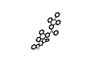 c1ccc(N(c2ccc3c(c2)-c2ccccc2N(c2ccccc2)c2ccccc2-3)c2ccc3c(c2)-c2ccccc2-c2ccccc2C32c3ccccc3-c3cc4oc5ccccc5c4cc32)cc1